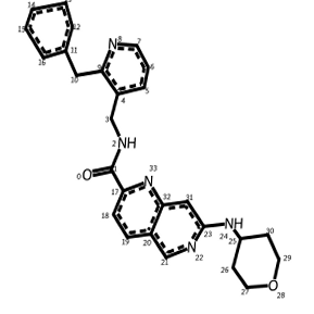 O=C(NCc1cccnc1Cc1ccccc1)c1ccc2cnc(NC3CCOCC3)cc2n1